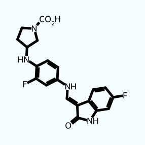 O=C1Nc2cc(F)ccc2C1=CNc1ccc(NC2CCN(C(=O)O)C2)c(F)c1